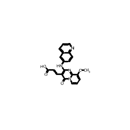 COc1cccn2c(=O)c(/C=C/C(=O)O)c(Nc3ccc4ncccc4c3)nc12